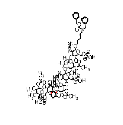 CC(=O)OC1C(C)[C@H](C)[C@H](C)O[C@H]1O[C@H]1C(C)C(N=[N+]=[N-])[C@@H](O[C@@H]2C(C)O[C@@H](O[C@@H]3C(COS(=O)(=O)O)O[C@H](O[C@H]4C(C)C(OC(C)=O)[C@H](O[C@H]5C(C)C(N=[N+]=[N-])[C@@H](OCCCCCN(Cc6ccccc6)C(=O)OCc6ccccc6)O[C@H]5COS(=O)(=O)O)O[C@H]4C)[C@@H](N=[N+]=[N-])C3C)C(OC(C)=O)[C@@H]2OCc2ccccc2)O[C@H]1COS(=O)(=O)O